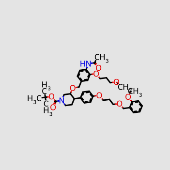 COCCCOc1cc(COC2CN(C(=O)OC(C)(C)C)CCC2c2ccc(OCCCOCc3ccccc3OC)cc2)ccc1NC(C)=O